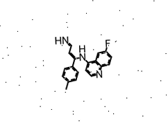 Cc1ccc(/C(=C/C=N)Nc2ccnc3ccc(F)cc23)cc1